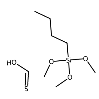 CCCC[Si](OC)(OC)OC.OC=S